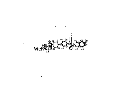 CNC(=O)NS(=O)(=O)N1CCC(c2ccc(NC(=O)N3Cc4ccc(F)cc4C3)cc2)CC1